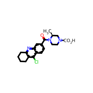 C[C@H]1CN(C(=O)O)CCN1C(=O)c1ccc2c(Cl)c3c(nc2c1)CCCC3